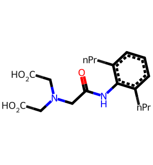 CCCc1cccc(CCC)c1NC(=O)CN(CC(=O)O)CC(=O)O